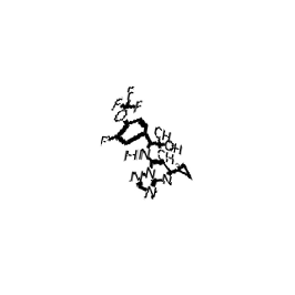 CC(C)(O)C(Nc1cc(C2CC2)nc2ncnn12)c1ccc(OC(F)(F)F)c(F)c1